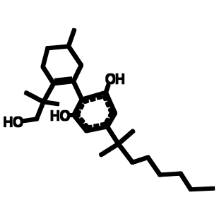 CCCCCCC(C)(C)c1cc(O)c(C2=C(C(C)(C)CO)CCC(C)C2)c(O)c1